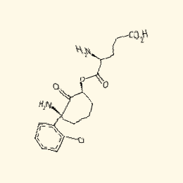 N[C@@H](CCC(=O)O)C(=O)O[C@H]1CCC[C@](N)(c2ccccc2Cl)C1=O